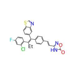 CCC(=C(c1ccc(C=Cc2noc(=O)[nH]2)cc1)c1ccc2scnc2c1)c1ccc(F)cc1Cl